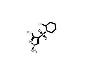 CCC1CCCCN1S(=O)(=O)c1cn(C)nc1C